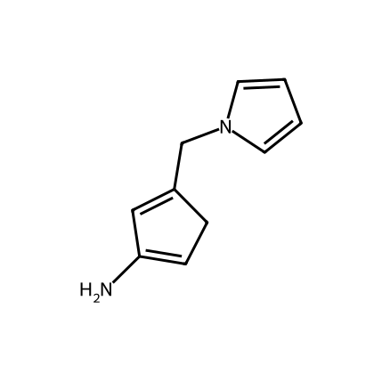 NC1=CCC(Cn2cccc2)=C1